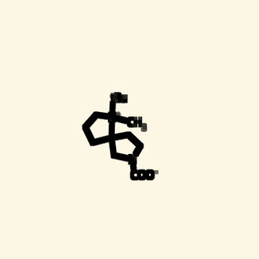 CC(C)(C)[N+]1(C)CCCC12CCN(C(=O)[O-])C2